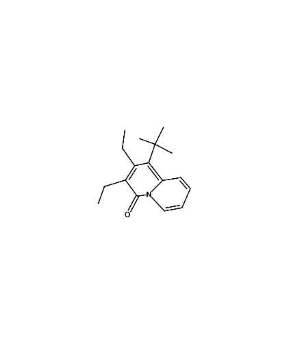 CCc1c(CC)c(=O)n2ccccc2c1C(C)(C)C